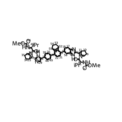 COC(=O)N[C@H](C(=O)N1C2CCC(C2)C1c1nc2ccc(-c3ccc(-c4ccc(-c5cnc([C@@H]6C7CCC(C7)N6C(=O)[C@@H](NC(=O)OC)C(C)C)[nH]5)cc4)c4c3C3CCC4CC3)cc2[nH]1)C(C)C